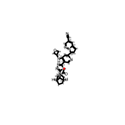 CC(=O)NC1[C@@H]2CC[C@H]1CN(c1nnc(-c3cnc(-c4ccc5cc(C#N)cnn45)cc3NC3COC3)s1)C2